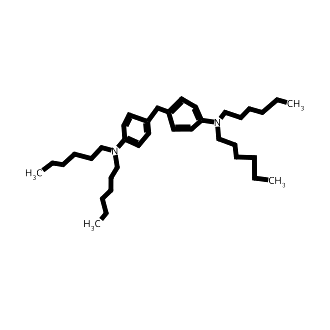 CCCCCCN(CCCCCC)c1ccc(Cc2ccc(N(CCCCCC)CCCCCC)cc2)cc1